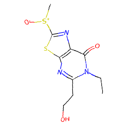 CCn1c(CCO)nc2sc([S+](C)[O-])nc2c1=O